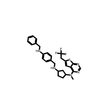 CN(c1ncnc2sc(CC(F)(F)F)cc12)C1CCC(NCc2ccc(NCc3ccccc3)cc2)C1